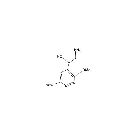 COc1cc(C(O)CN)c(OC)nn1